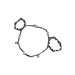 c1ccc2c(c1)CNCCCNCc1ccccc1OCCO2